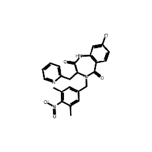 Cc1cc(CN2C(=O)c3ccc(Cl)cc3NC(=O)C2Cc2ccccn2)cc(C)c1[N+](=O)[O-]